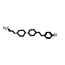 C=CCC[C@H]1CC[C@H](C2CCC(CCc3ccc(Cl)cc3)CC2)CC1